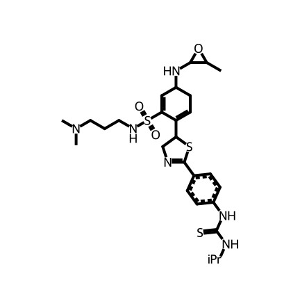 CC(C)NC(=S)Nc1ccc(C2=NCC(C3=CCC(NC4OC4C)C=C3S(=O)(=O)NCCCN(C)C)S2)cc1